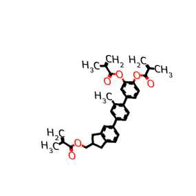 C=C(C)C(=O)OCC1Cc2ccc(-c3ccc(-c4ccc(OC(=O)C(=C)C)c(OC(=O)C(=C)C)c4)c(C)c3)cc2C1